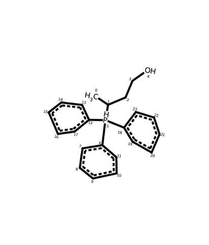 CC(CCO)[PH](c1ccccc1)(c1ccccc1)c1ccccc1